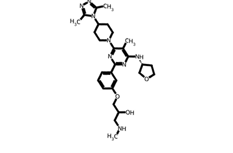 CNCC(O)COc1cccc(-c2nc(N[C@@H]3CCOC3)c(C)c(N3CCC(n4c(C)nnc4C)CC3)n2)c1